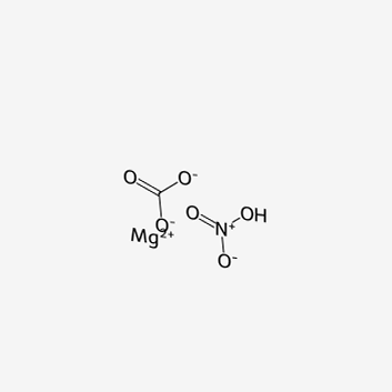 O=C([O-])[O-].O=[N+]([O-])O.[Mg+2]